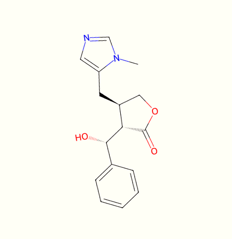 Cn1cncc1C[C@H]1COC(=O)[C@@H]1[C@@H](O)c1ccccc1